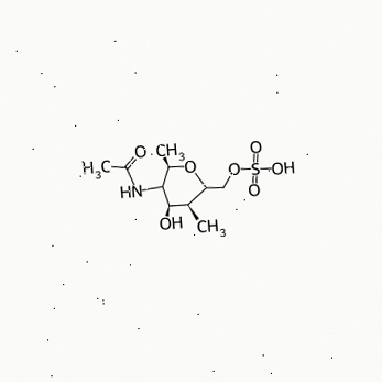 CC(=O)NC1[C@@H](C)OC(COS(=O)(=O)O)[C@@H](C)[C@H]1O